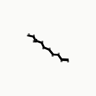 [CH2]COCCCCCC=C